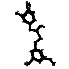 Cc1cc(CCC(C)Cc2ccc(C)c(Cl)c2)cc(CC(C)C)c1